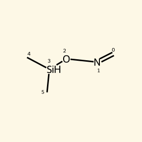 C=NO[SiH](C)C